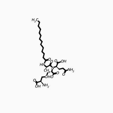 CCCCCCCCCCCCCC(=O)N[C@@H](C)C(=O)N([C@H](CCC(N)=O)C(=O)O)[C@@H](COC[C@@H](N)C(=O)O)C(=O)O